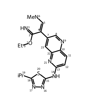 CCOC(=N)/C(=C\NC)c1cnc2ccc(Nc3nnc(C(C)C)s3)nc2c1